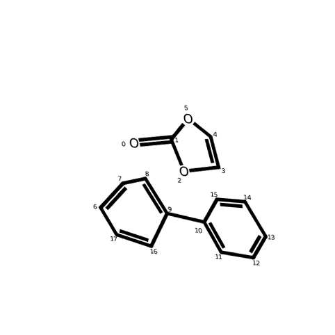 O=c1occo1.c1ccc(-c2ccccc2)cc1